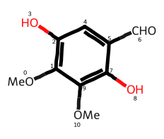 COc1c(O)cc(C=O)c(O)c1OC